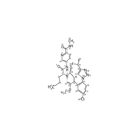 CCCC(C(=O)Nc1ccc(C(=O)NC)nc1)n1cc(OC)c(-c2cc(Cl)ccc2-n2cc(C(F)F)nn2)cc1=O